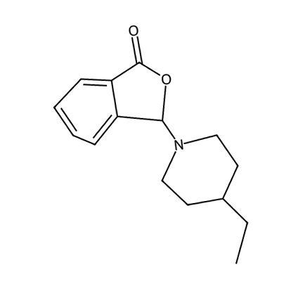 CCC1CCN(C2OC(=O)c3ccccc32)CC1